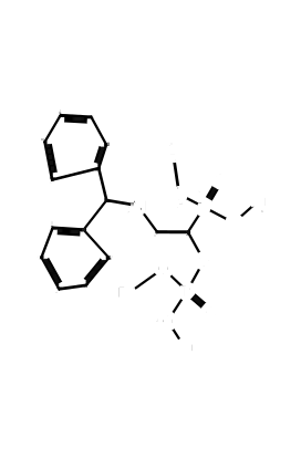 CCOP(=O)(OCC)OC(CNC(c1ccccc1)c1ccccc1)P(=O)(OCC)OCC